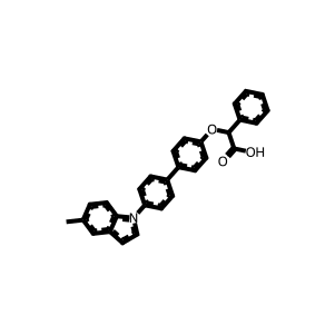 Cc1ccc2c(ccn2-c2ccc(-c3ccc(OC(C(=O)O)c4ccccc4)cc3)cc2)c1